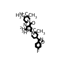 [2H]C([2H])([2H])c1nc2n(c(=O)c1CCN1CCC(c3noc4cc(F)ccc34)CC1(C)C)CC(C)(C)C(C)C2